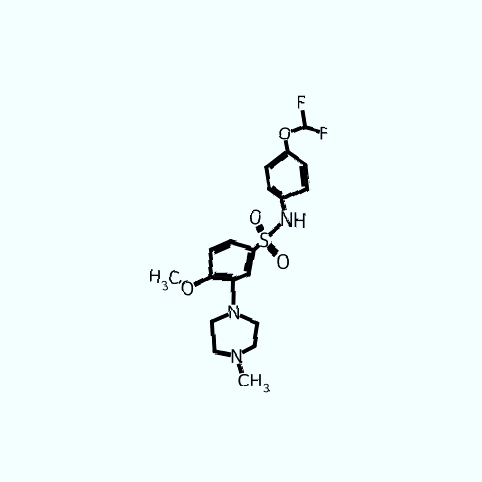 COc1ccc(S(=O)(=O)Nc2ccc(OC(F)F)cc2)cc1N1CCN(C)CC1